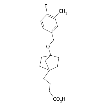 Cc1cc(COC23CCC(CCCC(=O)O)(CC2)C3)ccc1F